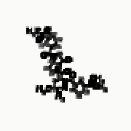 CC(C)C[C@H](NC(=O)c1cccc(N(C)C)c1)C(=O)N1CCC2C1C(=O)CN2C(=O)c1cccc(S(C)(=O)=O)c1